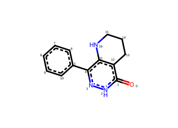 O=c1[nH]nc(-c2ccccc2)c2c1CCCN2